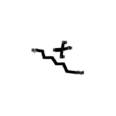 CCCCCCCCCCCCCN.O=P(O)(O)O